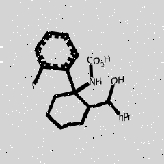 CCCC(O)C1CCCCC1(NC(=O)O)c1ccccc1I